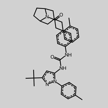 Cc1ccc(-n2nc(C(C)(C)C)cc2NC(=O)Nc2ccc(CC3CC4CCC(C3)N4C(=O)Cc3ccccc3C)cc2)cc1